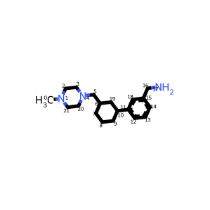 CN1CCN(CC2CCCC(c3cccc(CN)c3)C2)CC1